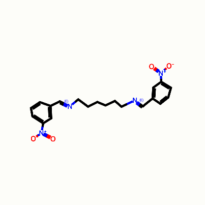 O=[N+]([O-])c1cccc(/C=N/CCCCCC/N=C/c2cccc([N+](=O)[O-])c2)c1